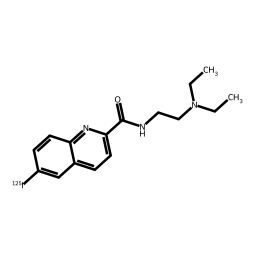 CCN(CC)CCNC(=O)c1ccc2cc([125I])ccc2n1